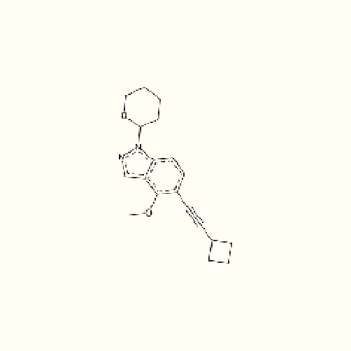 COc1c(C#CC2CCC2)ccc2c1cnn2C1CCCCO1